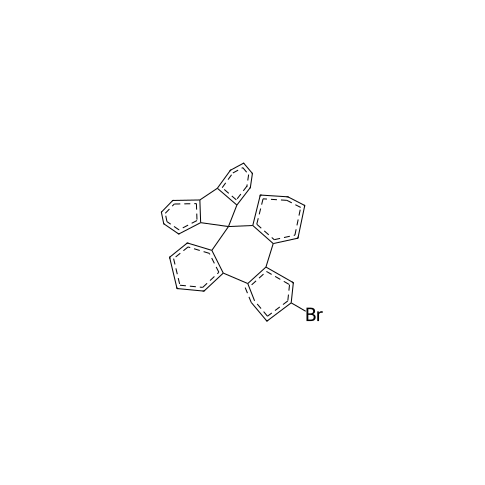 Brc1ccc2c(c1)-c1ccccc1C1(c3ccccc3-2)c2ccccc2-c2ccccc21